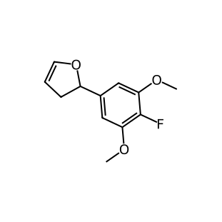 COc1cc(C2CC=CO2)cc(OC)c1F